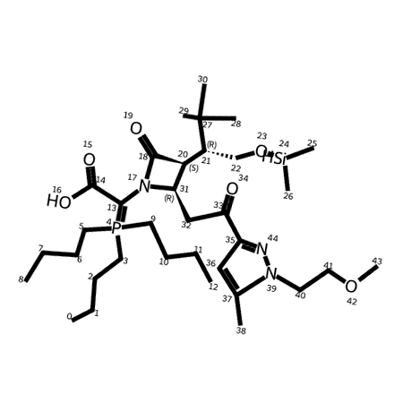 CCCCP(CCCC)(CCCC)=C(C(=O)O)N1C(=O)[C@@H]([C@@H](CO[SiH](C)C)C(C)(C)C)[C@H]1CC(=O)c1cc(C)n(CCOC)n1